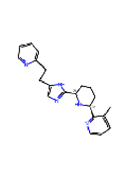 Cc1cccnc1[C@@H]1CCC[C@H](c2ncc(CCc3ccccn3)[nH]2)N1